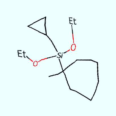 CCO[Si](OCC)(C1CC1)C1(C)CCCCC1